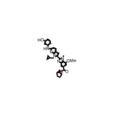 COc1cc(C(=O)N2CC3CCC2[C@@H]3C)cc2nc(-c3cc4ccc(Nc5cccc(O)c5)nc4n3CC3CC3)n(C)c12